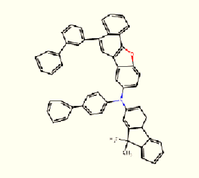 CC1(C)C2=CC(N(c3ccc(-c4ccccc4)cc3)c3ccc4oc5c6ccccc6c(-c6cccc(-c7ccccc7)c6)cc5c4c3)=CCC2c2ccccc21